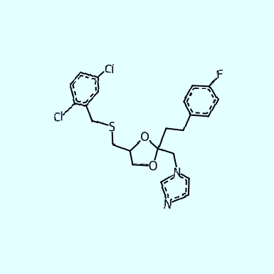 Fc1ccc(CCC2(Cn3ccnc3)OCC(CSCc3cc(Cl)ccc3Cl)O2)cc1